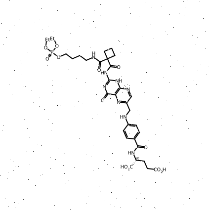 CCOP(=O)(OCC)OCCCCNC(=O)C1(C(=O)Nc2nc(=O)c3nc(CNc4ccc(C(=O)N[C@H](CCC(=O)O)C(=O)O)cc4)cnc3[nH]2)CCC1